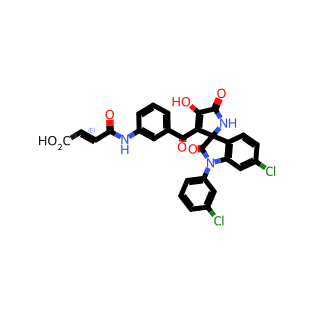 O=C(O)/C=C/C(=O)Nc1cccc(C(=O)C2=C(O)C(=O)NC23C(=O)N(c2cccc(Cl)c2)c2cc(Cl)ccc23)c1